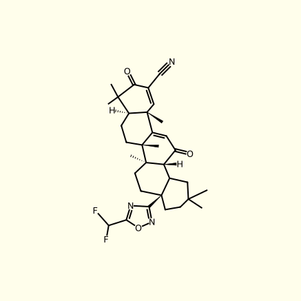 CC1(C)CC[C@]2(c3noc(C(F)F)n3)CC[C@]3(C)[C@H](C(=O)C=C4[C@@]5(C)C=C(C#N)C(=O)C(C)(C)[C@@H]5CC[C@]43C)C2C1